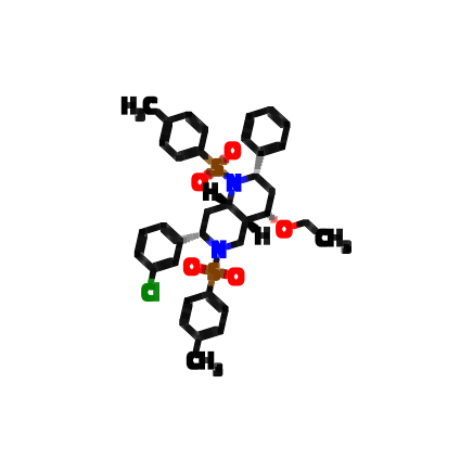 CCO[C@H]1C[C@@H](c2ccccc2)N(S(=O)(=O)c2ccc(C)cc2)[C@H]2C[C@@H](c3cccc(Cl)c3)N(S(=O)(=O)c3ccc(C)cc3)C[C@@H]12